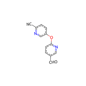 N#Cc1ccc(Oc2ccc(C=O)cn2)cn1